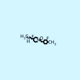 CNCCC1(F)CCCN(C(=O)CC2CCC(C)C(F)C2)CC1